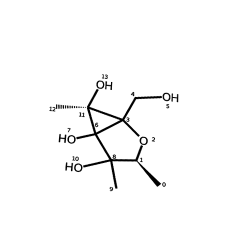 C[C@@H]1OC2(CO)C(O)(C1(C)O)[C@@]2(C)O